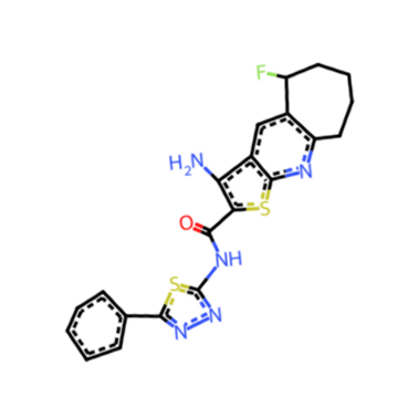 Nc1c(C(=O)Nc2nnc(-c3ccccc3)s2)sc2nc3c(cc12)C(F)CCCC3